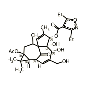 CCc1noc(CC)c1C(=O)O[C@H]1C(C)=CC23C(=O)[C@@H](C=C(CO)[C@@H](O)[C@]12O)[C@@H]1C(C)(C)[C@]1(OC(C)=O)CC3C